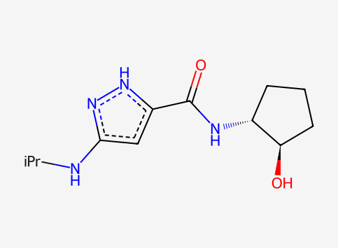 CC(C)Nc1cc(C(=O)N[C@@H]2CCC[C@H]2O)[nH]n1